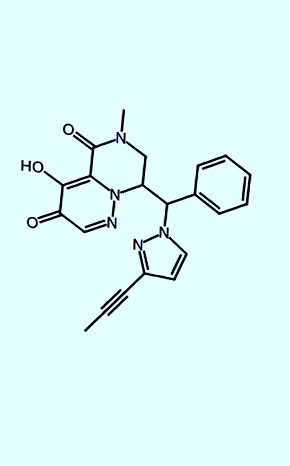 CC#Cc1ccn(C(c2ccccc2)C2CN(C)C(=O)c3c(O)c(=O)cnn32)n1